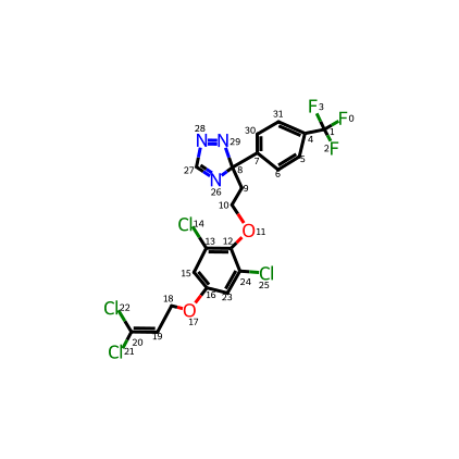 FC(F)(F)c1ccc(C2(CCOc3c(Cl)cc(OCC=C(Cl)Cl)cc3Cl)N=CN=N2)cc1